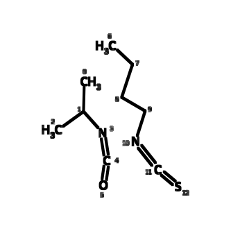 CC(C)N=C=O.CCCCN=C=S